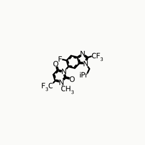 CC(C)Cn1c(C(F)(F)F)nc2cc(F)c(-n3c(=O)cc(C(F)(F)F)n(C)c3=O)cc21